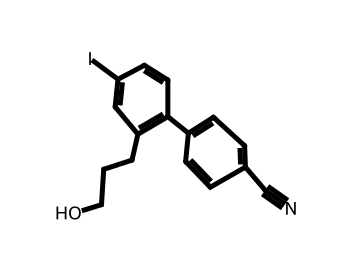 N#Cc1ccc(-c2ccc(I)cc2CCCO)cc1